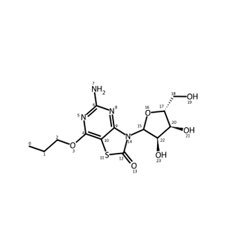 CCCOc1nc(N)nc2c1sc(=O)n2C1O[C@H](CO)[C@@H](O)[C@H]1O